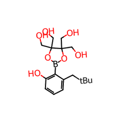 CC(C)(C)Cc1cccc(O)c1B1OC(CO)(CO)C(CO)(CO)O1